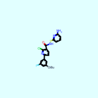 CC(C)COc1cc(F)cc(-c2ccc(C(=O)NSc3cccc(N)n3)c(Cl)n2)c1